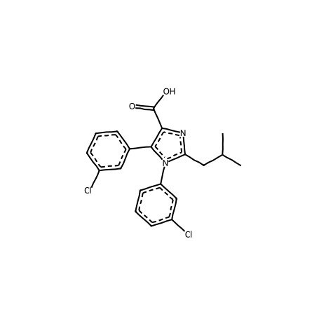 CC(C)Cc1nc(C(=O)O)c(-c2cccc(Cl)c2)n1-c1cccc(Cl)c1